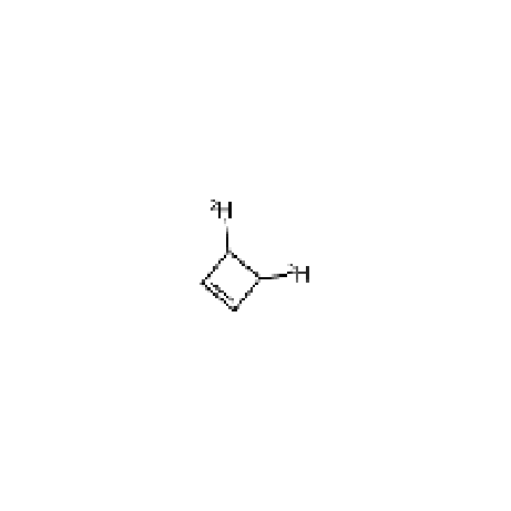 [2H]C1C=CC1[2H]